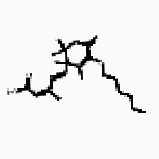 CCCCCCSC1=C(C)[C@](O)(/C=C/C(C)=C\C(=O)O)C(C)(C)CC1=O